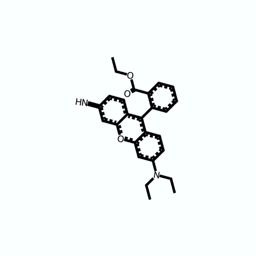 CCOC(=O)c1ccccc1-c1c2ccc(=N)cc-2oc2cc(N(CC)CC)ccc12